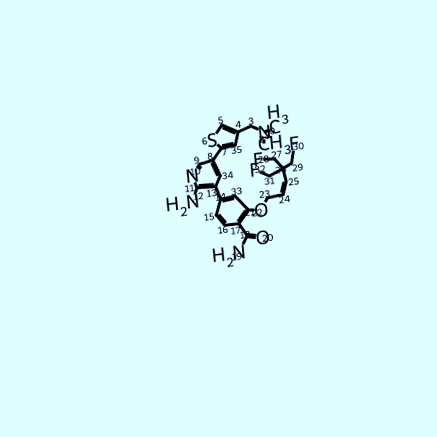 CN(C)Cc1csc(-c2cnc(N)c(-c3ccc(C(N)=O)c(OC/C=C\C(CF)(CF)CF)c3)c2)c1